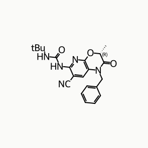 C[C@H]1Oc2nc(NC(=O)NC(C)(C)C)c(C#N)cc2N(Cc2ccccc2)C1=O